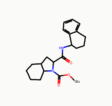 CC(C)(C)OC(=O)N1C(C(=O)NC2CCCc3ccccc32)CC2CCCCC21